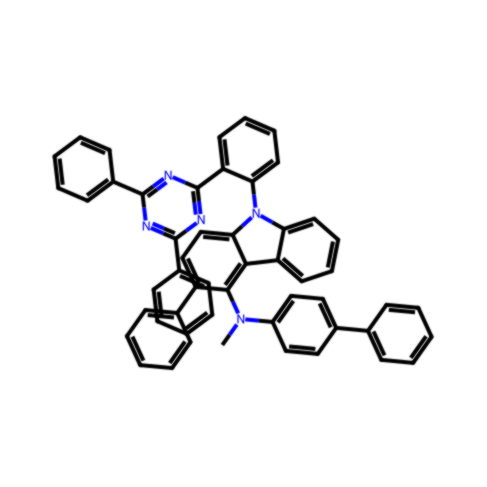 CN(c1ccc(-c2ccccc2)cc1)c1c(-c2ccccc2)ccc2c1c1ccccc1n2-c1ccccc1-c1nc(-c2ccccc2)nc(-c2ccccc2)n1